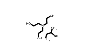 CCC(C)N.OCCN(CCO)CCO